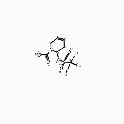 O=C(O)N1CC=CCC1OS(=O)(=O)C(F)(F)F